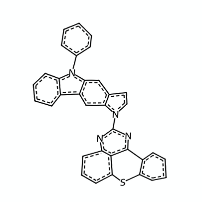 c1ccc(-n2c3ccccc3c3cc4c(ccn4-c4nc5c6c(cccc6n4)Sc4ccccc4-5)cc32)cc1